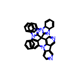 C1=CC2N=C(C3(c4nc5ccccc5n4-c4ccccc4)c4ccccc4-n4c5ccncc5c5cncc3c54)N(c3ccccc3)C2C=C1